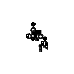 CNC(=O)[C@@H]1CCCN1CCOc1ccc2c(Nc3cc(OC)ccc3Br)nc(OC3CCOCC3)nc2c1